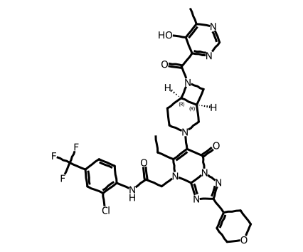 CCc1c(N2CC[C@@H]3[C@H](C2)CN3C(=O)c2ncnc(C)c2O)c(=O)n2nc(C3=CCOCC3)nc2n1CC(=O)Nc1ccc(C(F)(F)F)cc1Cl